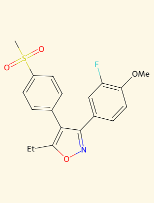 CCc1onc(-c2ccc(OC)c(F)c2)c1-c1ccc(S(C)(=O)=O)cc1